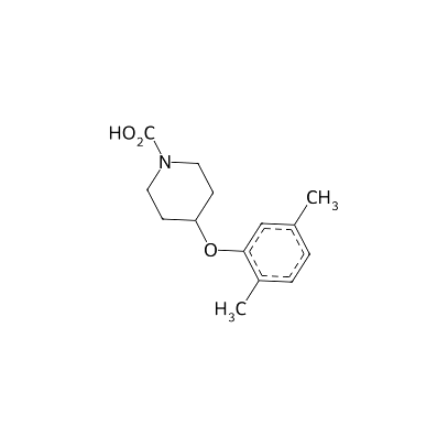 Cc1ccc(C)c(OC2CCN(C(=O)O)CC2)c1